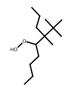 C[CH]CC(C)(C(CCCC)OO)C(C)(C)C